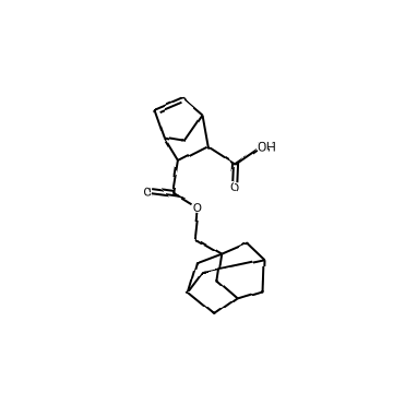 O=C(O)C1C2C=CC(C2)C1C(=O)OCC12CC3CC(CC(C3)C1)C2